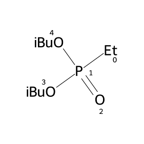 CCP(=O)(OCC(C)C)OCC(C)C